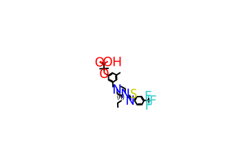 CCC[C@@H]1CN(Cc2cc(C)cc(OC(C)(C)C(=O)O)c2)CCN1c1nc2ccc(C(F)(F)F)cc2s1